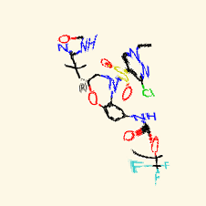 CCn1cc(S(=O)(=O)N2C[C@@H](CC(C)(C)C3=NOCN3)Oc3ccc(NC(=O)OC(C)(C)C(F)(F)F)cc32)c(Cl)n1